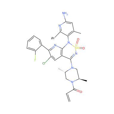 C=CC(=O)N1C[C@H](C)N(C2=NS(=O)(=O)N(c3c(C)cc(N)nc3C(C)C)c3nc(-c4ccccc4F)c(Cl)cc32)C[C@H]1C